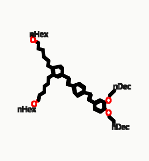 CCCCCCCCCCCCOc1ccc(C=Cc2ccc(C=Cc3ccc(CCCCCCOCCCCCC)c(CCCCCCOCCCCCC)c3)cc2)cc1OCCCCCCCCCCCC